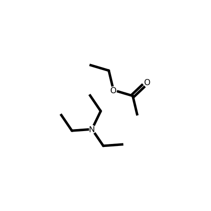 CCN(CC)CC.CCOC(C)=O